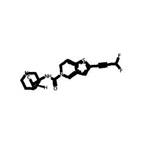 O=C(N[C@H]1CN2CCC1CC2)N1C=c2cc(C#CC(F)F)sc2=CC1